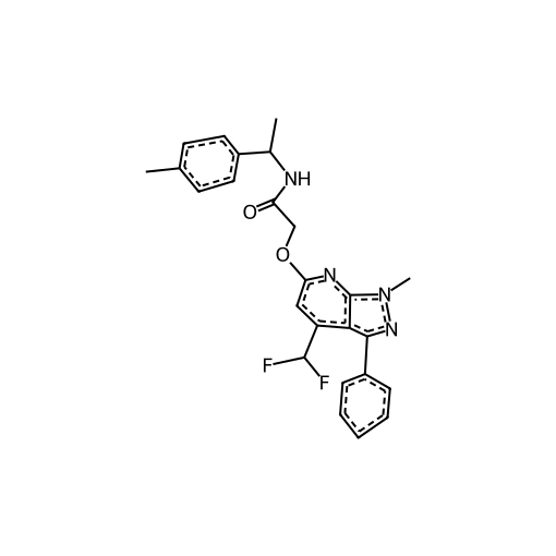 Cc1ccc(C(C)NC(=O)COc2cc(C(F)F)c3c(-c4ccccc4)nn(C)c3n2)cc1